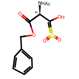 CC(=O)N[C@H](C(=O)OCc1ccccc1)C(O)=S(=O)=O